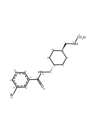 O=C(O)NC[C@H]1CC[C@H](CNC(=O)c2cncc(Br)c2)CC1